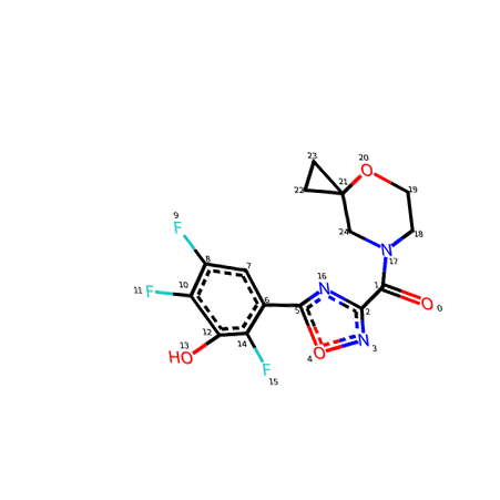 O=C(c1noc(-c2cc(F)c(F)c(O)c2F)n1)N1CCOC2(CC2)C1